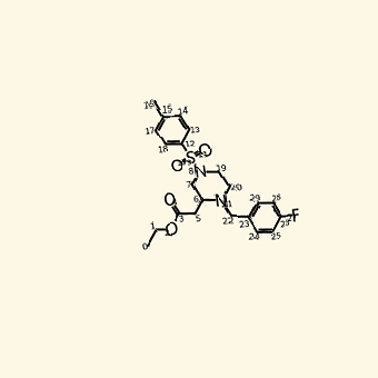 CCOC(=O)CC1CN(S(=O)(=O)c2ccc(C)cc2)CCN1Cc1ccc(F)cc1